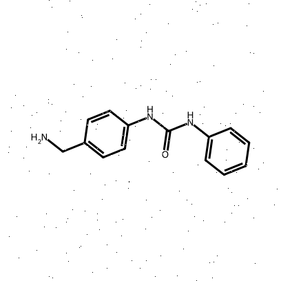 NCc1ccc(NC(=O)Nc2ccccc2)cc1